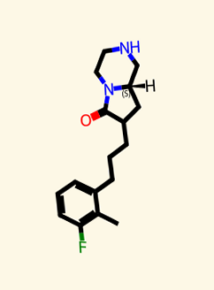 Cc1c(F)cccc1CCCC1C[C@H]2CNCCN2C1=O